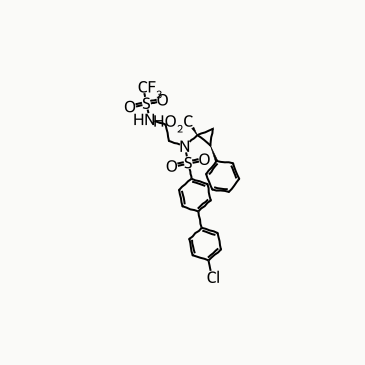 O=C(O)[C@@]1(N(CCNS(=O)(=O)C(F)(F)F)S(=O)(=O)c2ccc(-c3ccc(Cl)cc3)cc2)C[C@H]1c1ccccc1